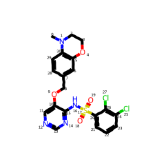 CN1CCOc2cc(COc3cncnc3NS(=O)(=O)c3cccc(Cl)c3Cl)ccc21